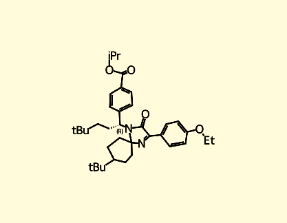 CCOc1ccc(C2=NC3(CCC(C(C)(C)C)CC3)N([C@H](CCC(C)(C)C)c3ccc(C(=O)OC(C)C)cc3)C2=O)cc1